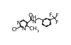 Cc1nc(Cl)ncc1C(=O)NCc1cccc(C(F)(F)F)c1